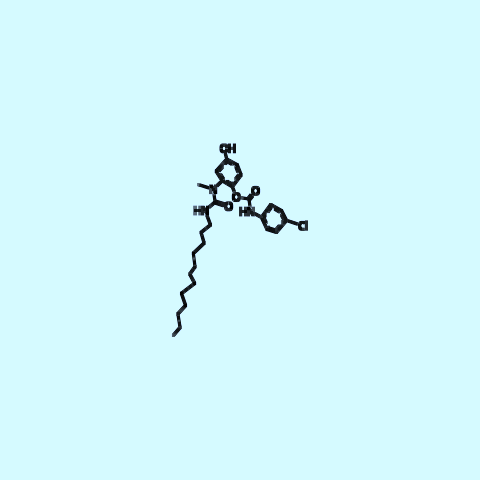 CCCCCCCCCCCCNC(=O)N(C)c1cc(O)ccc1OC(=O)Nc1ccc(Cl)cc1